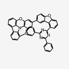 c1ccc(-c2nc(-c3ccccc3)nc(-c3cccc4oc5ccc(-c6cc7c8c(c6)Oc6cccc9c%10cccc(c%10n-8c69)O7)cc5c34)n2)cc1